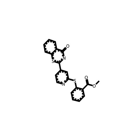 COC(=O)c1ccccc1Sc1cc(-c2nc(=O)c3ccccc3s2)ccn1